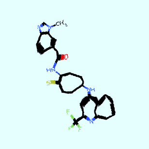 Cn1cnc2ccc(C(=O)N[C@H]3CC[C@@H](Nc4cc(C(F)(F)F)nc5ccccc45)CCC3=S)cc21